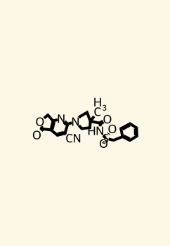 CC1(C(=O)NS(=O)(=O)Cc2ccccc2)CCN(c2nc3c(cc2C#N)C(=O)OC3)CC1